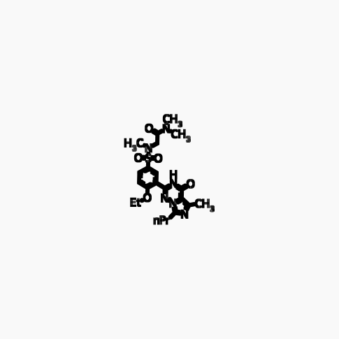 CCCc1nc(C)c2c(=O)[nH]c(-c3cc(S(=O)(=O)N(C)CC(=O)N(C)C)ccc3OCC)nn12